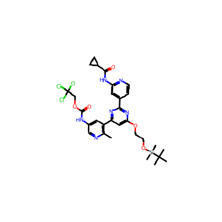 Cc1ncc(NC(=O)OCC(Cl)(Cl)Cl)cc1-c1cc(OCCO[Si](C)(C)C(C)(C)C)nc(-c2ccnc(NC(=O)C3CC3)c2)n1